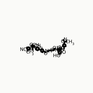 Cc1ncoc1-c1ccc(CNC(=O)[C@@H]2C[C@@H](O)CN2C(=O)[C@@H](NC(=O)COCCCNC(=O)c2ccc(-c3ccc(N4C(=S)N(c5ccc(C#N)c(C(F)(F)F)c5)C(=O)C4(C)C)cc3)cc2)C(C)(C)C)cc1